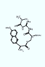 COc1ccc2cc(C(C)C(=O)SC[C@H](NC(C)=O)C(=O)NC(=N)NC(=N)N(C)C)ccc2c1